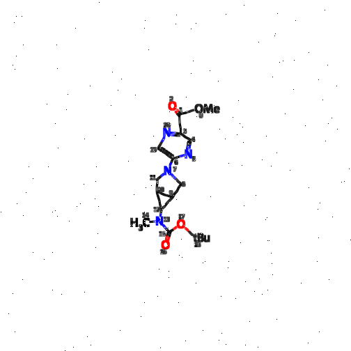 COC(=O)c1cnc(N2CC3C(C2)C3N(C)C(=O)OC(C)(C)C)cn1